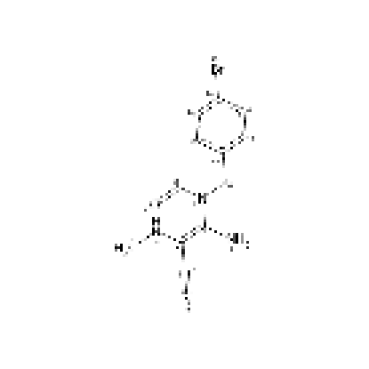 CN/C(C#N)=C(/N)N(C=O)Cc1ccc(Br)cc1